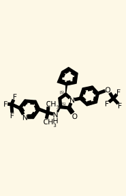 CC(C)(N[C@H]1C[C@@H](c2ccccc2)N(c2ccc(OC(F)(F)F)cc2)C1=O)c1ccc(C(F)(F)F)nc1